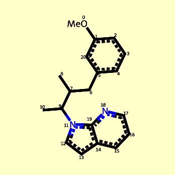 COc1cccc(CC(C)C(C)n2ccc3cccnc32)c1